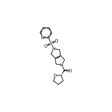 O=C([C@H]1CCCO1)N1CC2=C(C1)CN(S(=O)(=O)c1ccccn1)C2